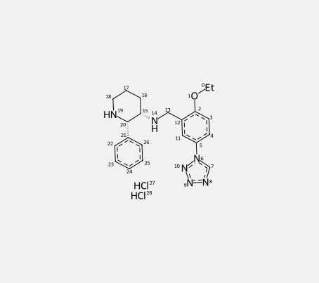 CCOc1ccc(-n2cnnn2)cc1CN[C@H]1CCCN[C@H]1c1ccccc1.Cl.Cl